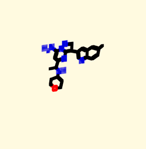 Cc1ccc2ncc(-c3cnn4c(N)cc(C(C)NC5CCOCC5)nc34)cc2c1